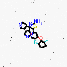 NC1=NC(c2ccncc2)(c2ccncc2)C(c2cc(Oc3c(F)cccc3F)ccn2)S1